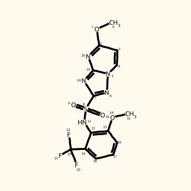 COc1ccn2nc(S(=O)(=O)Nc3c(OC)cccc3C(F)(F)F)nc2n1